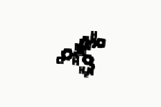 CC1(Nc2ncc3nc(NC4CCCC(Cl)C4)n(C4CCC(CN)CC4)c3n2)CCCC1